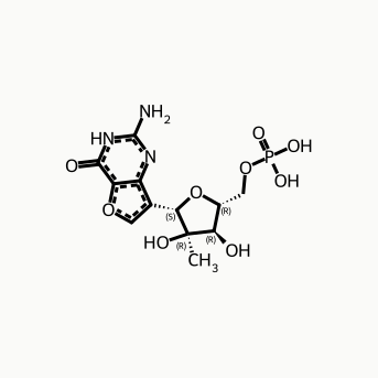 C[C@@]1(O)[C@H](O)[C@@H](COP(=O)(O)O)O[C@H]1c1coc2c(=O)[nH]c(N)nc12